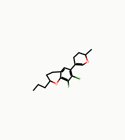 CCCC1CCc2cc(C3=COC(C)CC3)c(F)c(F)c2O1